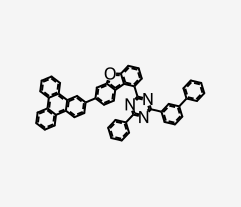 c1ccc(-c2cccc(-c3nc(-c4ccccc4)nc(-c4cccc5oc6cc(-c7ccc8c9ccccc9c9ccccc9c8c7)ccc6c45)n3)c2)cc1